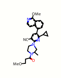 COCCC(=O)N1CCN(c2nc(C3CC3)c(-c3cccc4c(OC)nccc34)cc2C#N)CC1C